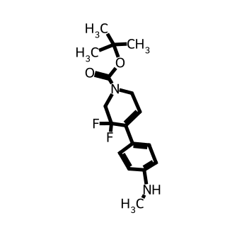 CNc1ccc(C2=CCN(C(=O)OC(C)(C)C)CC2(F)F)cc1